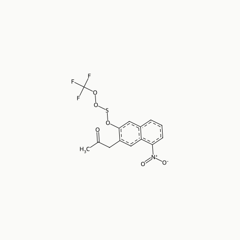 CC(=O)Cc1cc2c([N+](=O)[O-])cccc2cc1OSOOC(F)(F)F